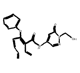 C=C/C=C\C(Oc1ccccc1)=C(/C=C)C(=O)Nc1cnn(CO)c(=O)c1